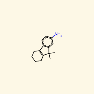 CC1(C)C2=C(CCCC2)c2ccc(N)cc21